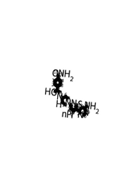 CCCc1cc(N2CCC(NCC(O)c3ccc(C(N)=O)cc3)CC2)nc2c1C1N=CN=C(N)C1S2